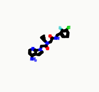 Nc1ccnc2c1ccn2CC(=O)N(CC(=O)NCc1cccc(Cl)c1F)C1CC1